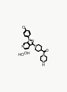 Cl.Cl.O=C(C1CCN(c2nn(-c3ccc(Cl)cc3)c3cnccc23)CC1)N1CCNCC1